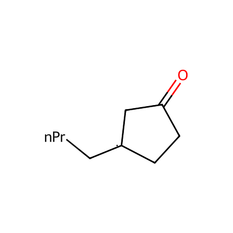 CCCC[C]1CCC(=O)C1